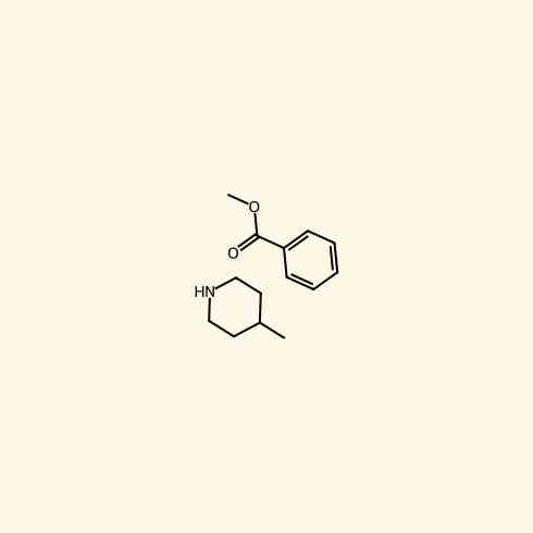 CC1CCNCC1.COC(=O)c1ccccc1